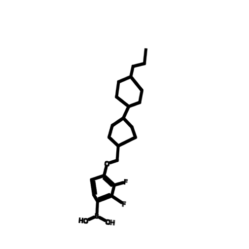 CCCC1CCC(C2CCC(COc3ccc(B(O)O)c(F)c3F)CC2)CC1